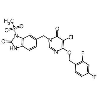 CS(=O)(=O)n1c(=O)[nH]c2ccc(Cn3cnc(OCc4ccc(F)cc4F)c(Cl)c3=O)cc21